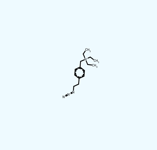 CC[N+](CC)(CC)Cc1ccc(CCN=[N+]=[N-])cc1